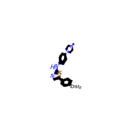 COc1ccc(-c2cnc(Nc3ccc(N4CCN(C)CC4)cc3)s2)cc1